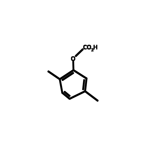 Cc1ccc(C)c(OC(=O)O)c1